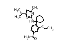 CCOc1cc(C(N)=O)ccc1C1(Nc2nc(C)cc(N(C)C)n2)CCCCC1